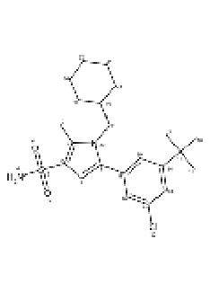 Cc1c(S(N)(=O)=O)cc(-c2cc(Cl)cc(C(C)(C)C)c2)n1CC1CCCCC1